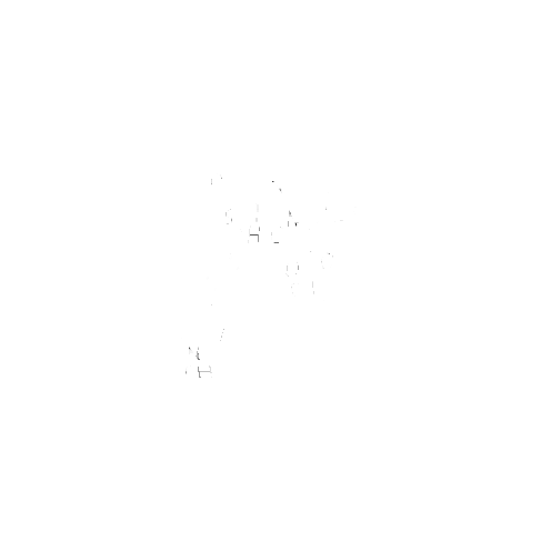 COC(=O)C(c1ccccc1)N(C)/C=N\c1cc(-c2ccc(C3CCN(C)CC3)cc2)sc1C=O